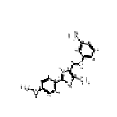 COc1ccc(-c2nc(COc3cccc(N)c3)c(C)o2)cc1